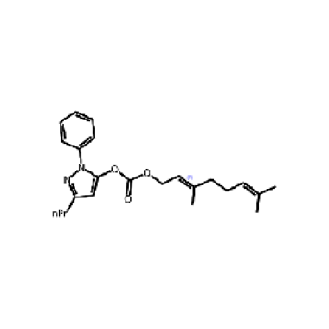 CCCc1cc(OC(=O)OC/C=C(\C)CCC=C(C)C)n(-c2ccccc2)n1